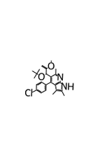 C=C(OC)[C@@H](OC(C)(C)C)c1c(C)nc2[nH]c(C)c(C)c2c1-c1ccc(Cl)cc1